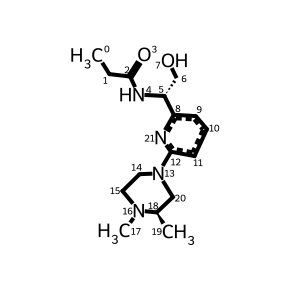 CCC(=O)N[C@H](CO)c1cccc(N2CCN(C)[C@H](C)C2)n1